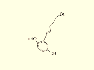 OCCC/C=C/c1cc(O)ccc1O